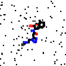 Cc1cccc2c1OB(O)[C@@H](NC(=O)Cc1nnnn1CCNC(C)C)C2